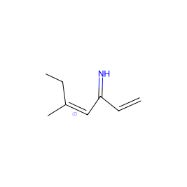 C=CC(=N)/C=C(/C)CC